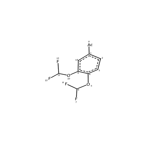 CC(=O)c1ccc(OC(F)F)c(OC(F)F)c1